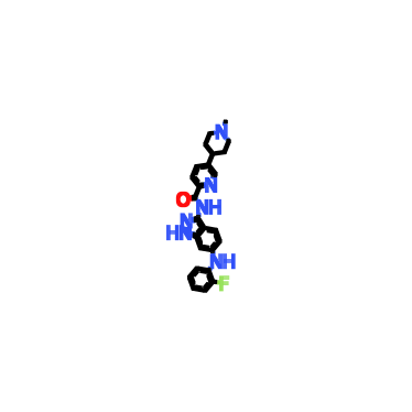 CN1CCC(c2ccc(C(=O)Nc3n[nH]c4cc(Nc5ccccc5F)ccc34)nc2)CC1